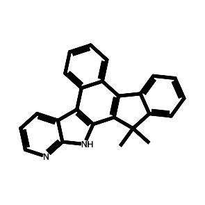 CC1(C)c2ccccc2-c2c1c1[nH]c3ncccc3c1c1ccccc21